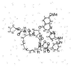 COc1ccc2c(O[C@@H]3C[C@H]4C(=O)N[C@]5(C(=O)NS(=O)(=O)c6ccccc6)C[C@H]5/C=C\CCCCC[C@H](NC(=O)OC5CCCC5)C(=O)N4C3)cc(-c3csc(NC(C)C)n3)nc2c1